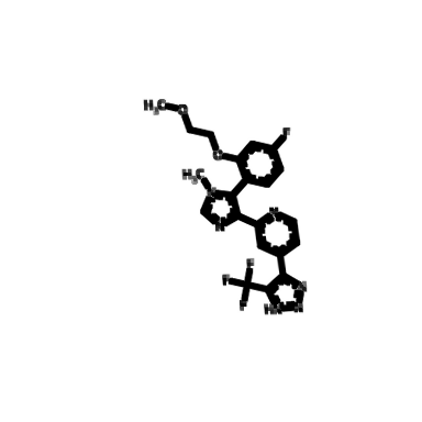 COCCOc1cc(F)ccc1-c1c(-c2cc(-c3nn[nH]c3C(F)(F)F)ccn2)ncn1C